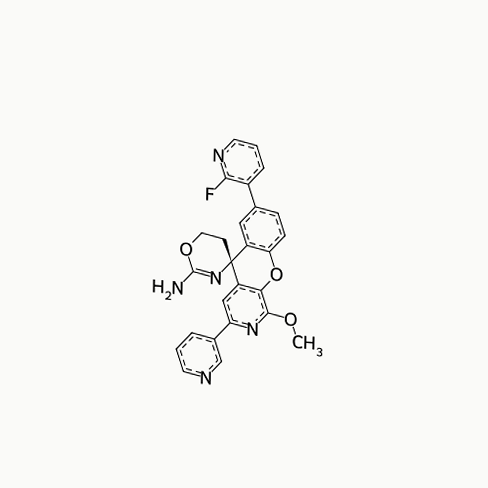 COc1nc(-c2cccnc2)cc2c1Oc1ccc(-c3cccnc3F)cc1[C@]21CCOC(N)=N1